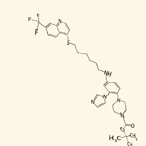 CC(C)(C)OC(=O)N1CCN(c2ccc(NCCCCCCSc3ccnc4cc(C(F)(F)F)ccc34)cc2-n2ccnc2)CC1